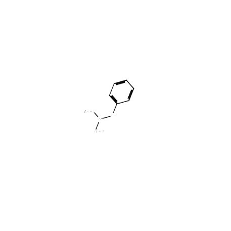 CCCCCCCCCN(CCCCCCCCC)Pc1ccccc1